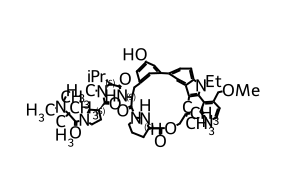 CCn1c(-c2cnccc2COC)c2c3cc(ccc31)-c1cc(O)cc(c1)C[C@H](NC(=O)[C@H](C(C)C)N(C)C(=O)[C@H]1CCN(C(=O)C(C)(C)N(C)C)C1)C(=O)N1CCC[C@H](N1)C(=O)OCC(C)(C)C2